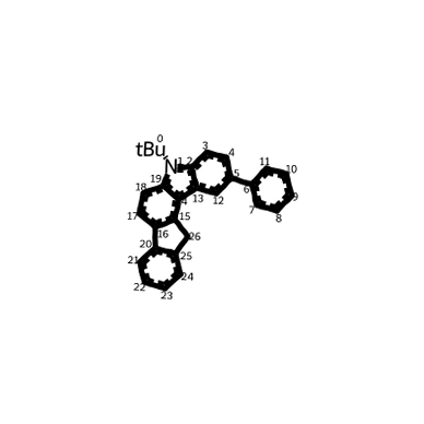 CC(C)(C)n1c2ccc(-c3ccccc3)cc2c2c3c(ccc21)-c1ccccc1C3